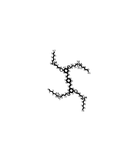 CCCCCC[N+](C)(C)CCCCOc1cc(/C=C/c2ccc(/C=C/c3cc(OCCCC[N+](C)(C)CCCCCC)cc(OCCCC[N+](C)(C)CCCCCC)c3)cc2)cc(OCCCC[N+](C)(C)CCCCCC)c1